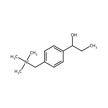 CCC(O)c1ccc(C[N+](C)(C)C)cc1